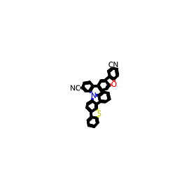 N#Cc1ccc(-c2ccc3oc4ccc(C#N)cc4c3c2)c(-n2c3ccccc3c3c4sc5ccccc5c4ccc32)c1